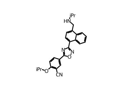 CC(C)NCc1ccc(-c2noc(-c3ccc(OC(C)C)c(C#N)c3)n2)c2ccccc12